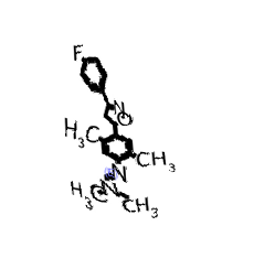 CCN(C)/C=N/c1cc(C)c(C2CC(c3ccc(F)cc3)=NO2)cc1C